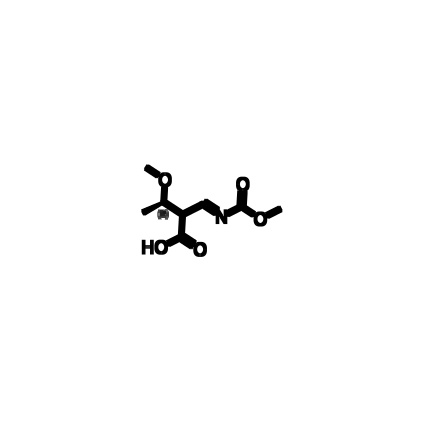 COC(=O)N=CC(C(=O)O)[C@@H](C)OC